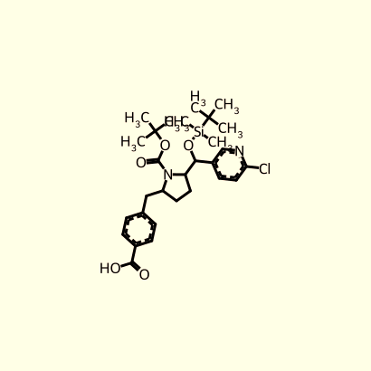 CC(C)(C)OC(=O)N1C(Cc2ccc(C(=O)O)cc2)CCC1C(O[Si](C)(C)C(C)(C)C)c1ccc(Cl)nc1